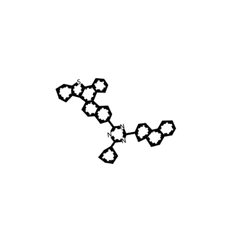 c1ccc(-c2nc(-c3ccc4c(ccc5ccccc54)c3)nc(-c3ccc4c(ccc5c4c4ccccc4c4sc6ccccc6c54)c3)n2)cc1